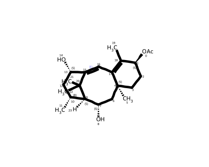 CC(=O)O[C@H]1CC[C@@]2(C)C[C@H](O)[C@H]3[C@H](C)C[C@H](O)/C(=C/C2=C1C)C3(C)C